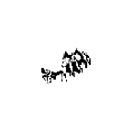 CCS(=O)(=O)NC1CC(CNc2nc3cnc(-c4c(C)ncnc4C4CC4)nc3n(C(C)C3CC3)c2=O)C1